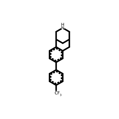 FC(F)(F)c1ccc(-c2ccc3c(c2)CC2CNCC3C2)cc1